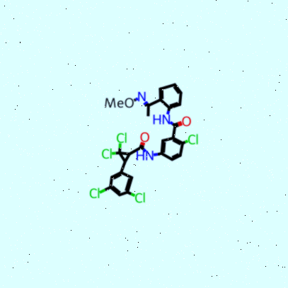 CO/N=C(\C)c1ccccc1NC(=O)c1cc(NC(=O)C2C(c3cc(Cl)cc(Cl)c3)C2(Cl)Cl)ccc1Cl